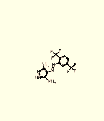 Nc1n[nH]c(N)c1N=Nc1cc(C(F)(F)F)ccc1C(F)(F)F